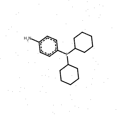 Nc1ccc(P(C2CCCCC2)C2CCCCC2)cc1